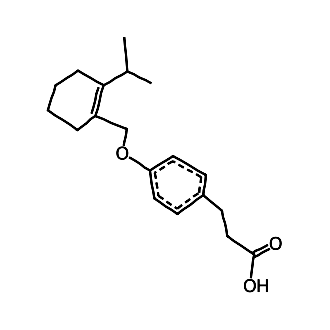 CC(C)C1=C(COc2ccc(CCC(=O)O)cc2)CCCC1